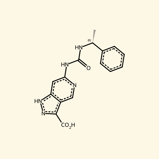 C[C@@H](NC(=O)Nc1cc2[nH]nc(C(=O)O)c2cn1)c1ccccc1